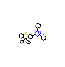 c1ccc(-c2nc(-c3ccc4c(c3)Sc3ccccc3C43c4ccccc4-c4ccccc43)nc(-c3ccccn3)n2)cc1